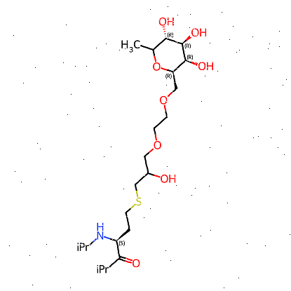 CC(C)N[C@@H](CCSCC(O)COCCOC[C@H]1OC(C)[C@H](O)[C@@H](O)[C@H]1O)C(=O)C(C)C